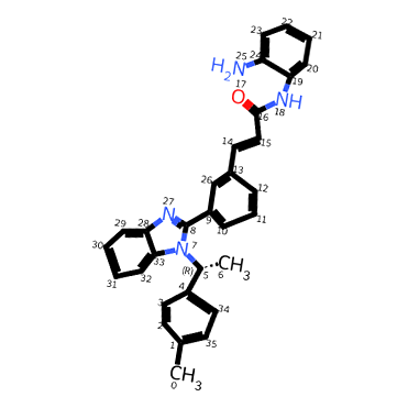 Cc1ccc([C@@H](C)n2c(-c3cccc(C=CC(=O)Nc4ccccc4N)c3)nc3ccccc32)cc1